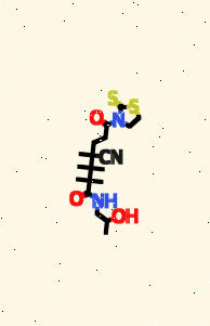 CC(O)CNC(=O)C(C)(C)C(C)(C)C(C)(C#N)CCC(=O)N1CCSC1=S